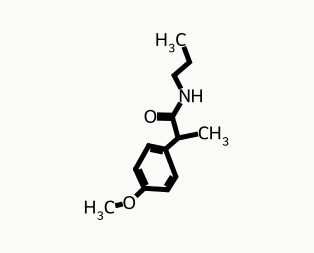 CCCNC(=O)C(C)c1ccc(OC)cc1